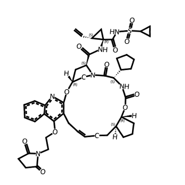 C=C[C@@H]1C[C@]1(NC(=O)[C@@H]1C[C@@H]2CN1C(=O)[C@H](C1CCCC1)NC(=O)O[C@@H]1CCC[C@H]1CCC=CCc1c(nc3ccccc3c1OCCN1C(=O)CCC1=O)O2)C(=O)NS(=O)(=O)C1CC1